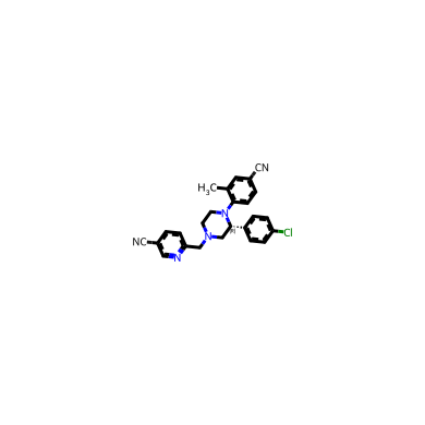 Cc1cc(C#N)ccc1N1CCN(Cc2ccc(C#N)cn2)C[C@H]1c1ccc(Cl)cc1